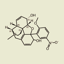 COc1ccc([N+](=O)[O-])cc1C12O[C@H]3[C@@H](O)C=C[C@H]4[C@H]5CC(=C1[C@]43CCN5C)C=CC2O